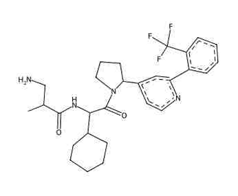 CC(CN)C(=O)NC(C(=O)N1CCCC1c1ccnc(-c2ccccc2C(F)(F)F)c1)C1CCCCC1